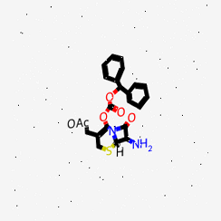 CC(=O)OCC1=C(OC(=O)OC(c2ccccc2)c2ccccc2)N2C(=O)C(N)[C@@H]2SC1